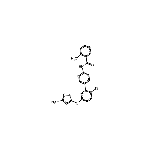 CCc1ccc(Oc2cc(C)on2)cc1-c1ccc(NC(=O)c2cnccc2C)nc1